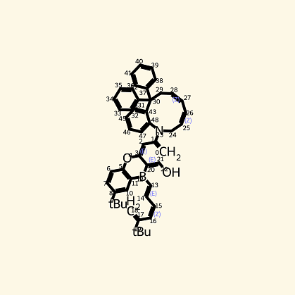 C=C(/C=C1/Oc2ccc(C(C)(C)C)cc2B(/C=C/C=C\C(=C)C(C)(C)C)/C1=C\O)N1C/C=C\C=C/CC(c2ccccc2)(c2ccccc2)c2ccccc21